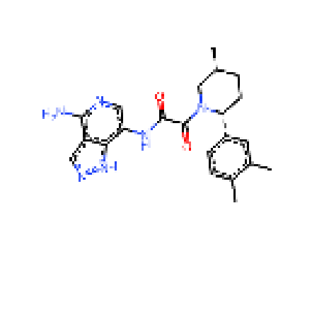 Cc1ccc([C@H]2CC[C@H](C)CN2C(=O)C(=O)Nc2cnc(N)c3cn[nH]c23)cc1C